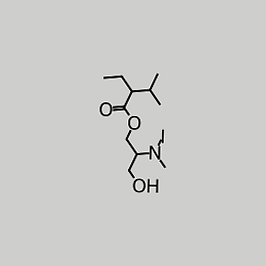 CCC(C(=O)OCC(CO)N(C)I)C(C)C